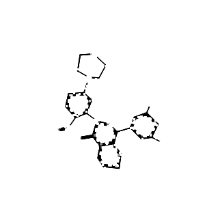 Cc1cc(Br)cc(-c2nn(-c3cc(N4CCOCC4)ccc3N=O)c(=O)c3ccccc23)c1